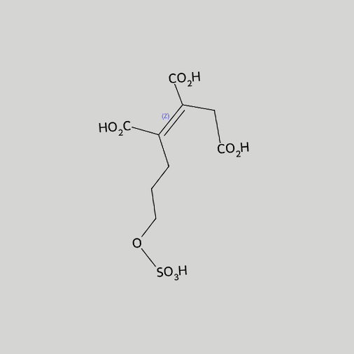 O=C(O)C/C(C(=O)O)=C(\CCCOS(=O)(=O)O)C(=O)O